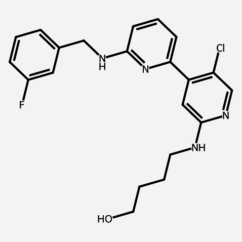 OCCCCNc1cc(-c2cccc(NCc3cccc(F)c3)n2)c(Cl)cn1